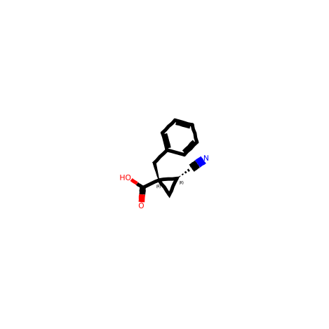 N#C[C@@H]1C[C@]1(Cc1ccccc1)C(=O)O